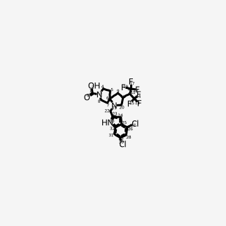 O=C(O)N1CCC2(CC1)CC(C(C(F)(F)F)C(F)(F)F)CN2Cc1cc2c(Cl)cc(Cl)cc2[nH]1